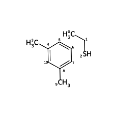 CCS.Cc1cccc(C)c1